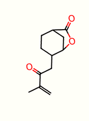 C=C(C)C(=O)CC1CCC2CC1OC2=O